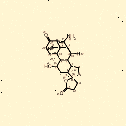 C[C@]12C[C@@H](O)C3C(C1CC[C@@]21CCC(=O)O1)[C@H]1CC2(C#N)C(=C1N)C(=O)CC[C@]32C